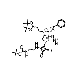 C[C@@H](OC(=O)[C@]1(N=[N+]=[N-])CN(c2c(NCCNC(=O)OC(C)(C)C)c(=O)c2=O)C[C@@H]1CCCB1OC(C)(C)C(C)(C)O1)c1ccccc1